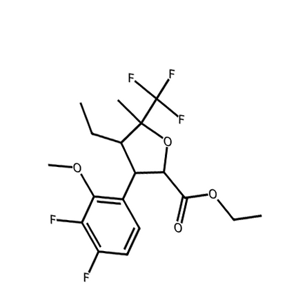 CCOC(=O)C1OC(C)(C(F)(F)F)C(CC)C1c1ccc(F)c(F)c1OC